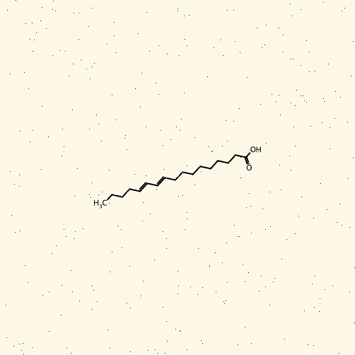 CCCCC=CC=CCCCCCCCCC(=O)O